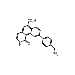 NCc1ccc(-c2ccc3c(C(=O)O)cc4cc[nH]c(=O)c4c3c2)cc1